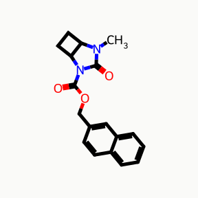 CN1C(=O)N(C(=O)OCc2ccc3ccccc3c2)C2CCC21